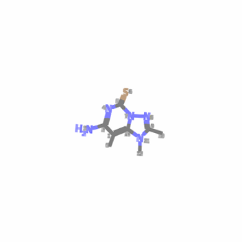 Cc1c(N)nc(=S)n2nc(C)n(C)c12